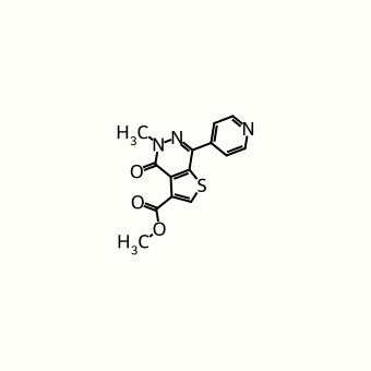 COC(=O)c1csc2c(-c3ccncc3)nn(C)c(=O)c12